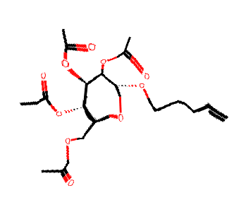 C=CCCCO[C@@H]1OC(COC(C)=O)[C@H](OC(C)=O)[C@@H](OC(C)=O)C1OC(C)=O